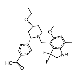 CCO[C@H]1CCN(Cc2c(OC)cc(C)c3c2C(F)(F)CN3)[C@H](c2ccc(C(=O)O)cc2)C1